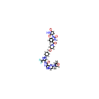 Cn1c(=O)n(C2CCC(=O)NC2=O)c2cccc(C(=O)N3CCC(OC[C@H]4CC[C@H](n5cc(NC(=O)c6cnn7ccc(N8C[C@H]9C[C@@H]8CO9)nc67)c(C(F)F)n5)CC4)CC3)c21